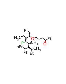 C=CC(/C(=C\CC)OCCCC(=O)CC)=C(\F)C(=C)/C(=C(\C)CC)C(CC)CCC